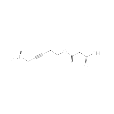 CC(=O)CC(=O)OCCC#CC[N+](=O)[O-]